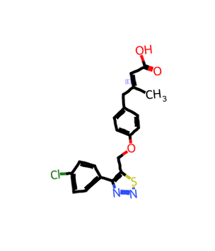 C/C(=C\C(=O)O)Cc1ccc(OCc2snnc2-c2ccc(Cl)cc2)cc1